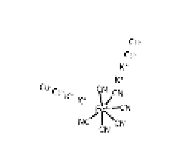 N#[C][Fe-4]([C]#N)([C]#N)([C]#N)([C]#N)[C]#N.[Cu].[Cu].[Cu].[Cu].[K+].[K+].[K+].[K+]